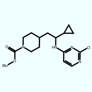 CC(C)(C)OC(=O)N1CCC(CC(Nc2ccnc(Cl)n2)C2CC2)CC1